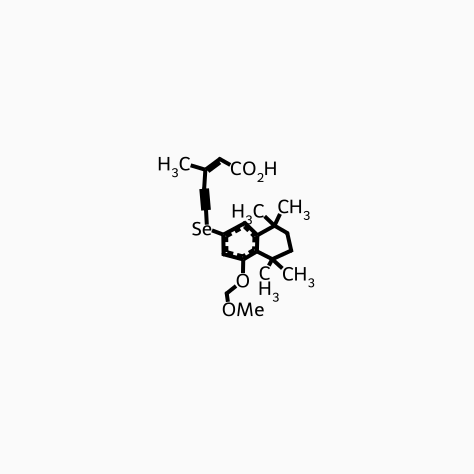 COCOc1cc([Se]C#CC(C)=CC(=O)O)cc2c1C(C)(C)CCC2(C)C